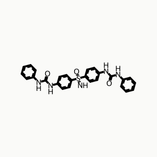 N=S(=O)(c1ccc(NC(=O)Nc2ccccc2)cc1)c1ccc(NC(=O)Nc2ccccc2)cc1